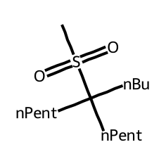 CCCCCC(CCCC)(CCCCC)S(C)(=O)=O